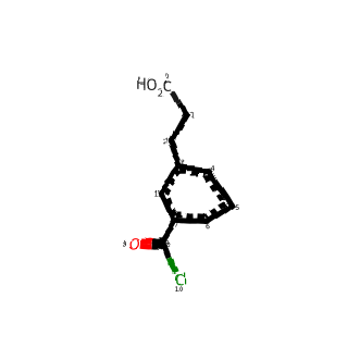 O=C(O)CCc1cccc(C(=O)Cl)c1